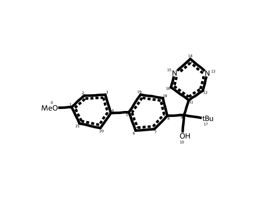 COc1ccc(-c2ccc(C(O)(c3cncnc3)C(C)(C)C)cc2)cc1